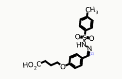 Cc1ccc(S(=O)(=O)N/N=C\c2ccc(OCCCC(=O)O)cc2)cc1